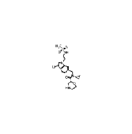 CS(=O)(=O)NCCn1cc(Cl)c2ccc(CN(C(=O)C3CNCCO3)C3CC3)cc21